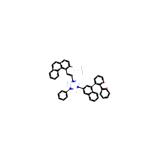 C/C(=C\c1c(C)ccc2ccc3ccccc3c12)c1nc(-c2ccccc2)nc(-c2cc(-c3cccc4oc5ccccc5c34)c3ccccc3c2)n1